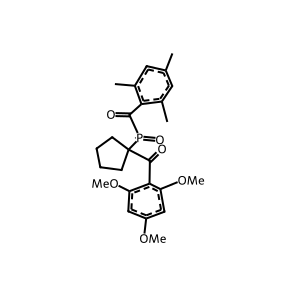 COc1cc(OC)c(C(=O)C2([P](=O)C(=O)c3c(C)cc(C)cc3C)CCCC2)c(OC)c1